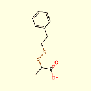 CC(SSCCc1ccccc1)C(=O)O